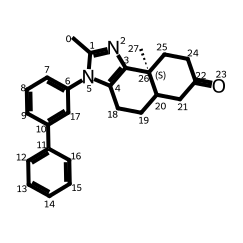 Cc1nc2c(n1-c1cccc(-c3ccccc3)c1)CCC1CC(=O)CC[C@]21C